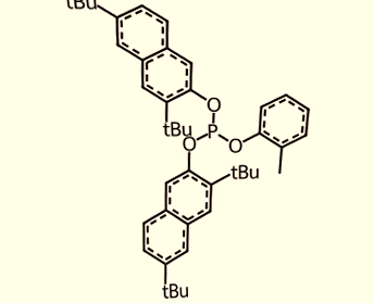 Cc1ccccc1OP(Oc1cc2ccc(C(C)(C)C)cc2cc1C(C)(C)C)Oc1cc2ccc(C(C)(C)C)cc2cc1C(C)(C)C